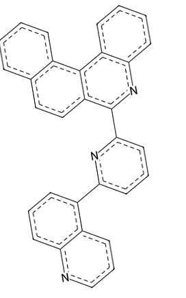 c1cc(-c2cccc3ncccc23)nc(-c2nc3ccccc3c3c2ccc2ccccc23)c1